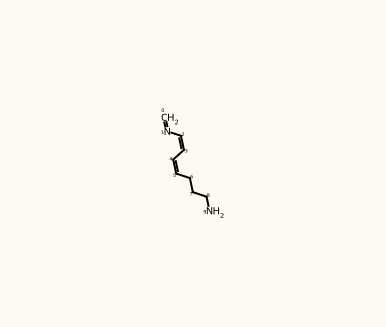 C=N/C=C\C=C/CCCN